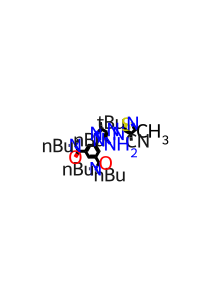 CCCCN(CCCC)C(=O)c1cc(C(=O)N(CCCC)CCCC)cc(-n2nc(C(C)(C)C)c(N=Nc3snc(C)c3C#N)c2N)c1